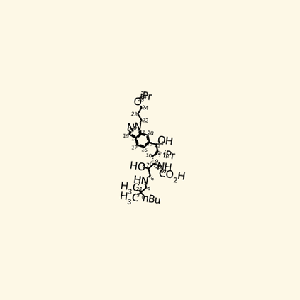 CCCCC(C)(C)CNCC(O)[C@H](C[C@@H](C(C)C)C(O)c1ccc2cnn(CCCOC(C)C)c2c1)NC(=O)O